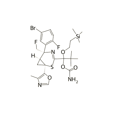 Cc1ncoc1[C@]12C[C@H]1[C@@](CF)(c1cc(Br)ccc1F)N=C(C(OCC[Si](C)(C)C)(OC(N)=O)C(C)(C)C)S2